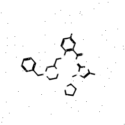 CC(C)(C)c1cn(C[C@@H]2CCCO2)/c(=N/C(=O)c2cc(C(F)(F)F)ccc2OCC2CN(Cc3ccccc3)CCO2)s1